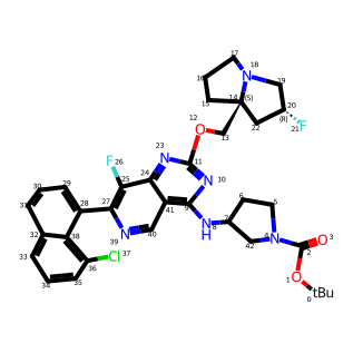 CC(C)(C)OC(=O)N1CCC(Nc2nc(OC[C@@]34CCCN3C[C@H](F)C4)nc3c(F)c(-c4cccc5cccc(Cl)c45)ncc23)C1